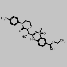 CCOC(=N)c1ccc2c(c1)S(=O)(=O)N=C([C@H](O)[C@H]1OCCN(c3ccc(C)cc3)C1=O)N2